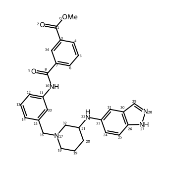 COC(=O)c1cccc(C(=O)Nc2cccc(CN3CCCC(Nc4ccc5[nH]ncc5c4)C3)c2)c1